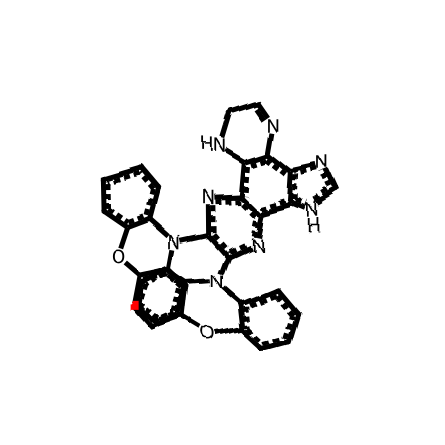 C1=Nc2c(c3nc(N4c5ccccc5Oc5ccccc54)c(N4c5ccccc5Oc5ccccc54)nc3c3[nH]cnc23)NC1